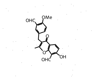 COc1ccc(Cc2c(C)oc3c(C=O)c(O)ccc3c2=O)cc1C=O